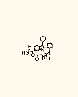 O=C(NO)c1ccc2c(C3CCCCC3)c3n(c2c1)CC1(C(=O)N2CCOCC2)CC1c1ccccc1-3